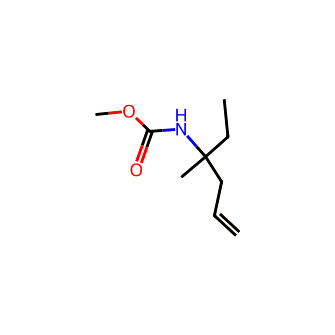 C=CCC(C)(CC)NC(=O)OC